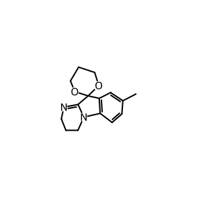 Cc1ccc2c(c1)C1(OCCCO1)C1=NCCCN12